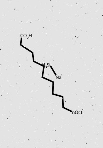 CCCCCCCCCCCCCCCCCC(=O)O.[Na][SiH3]